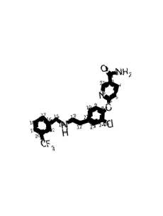 NC(=O)c1ccc(Oc2ccc(CCNCc3cccc(C(F)(F)F)c3)cc2Cl)nc1